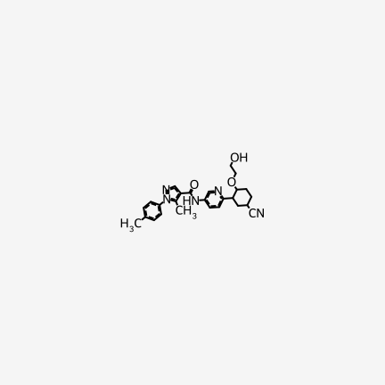 Cc1ccc(-n2ncc(C(=O)Nc3ccc(C4CC(C#N)CCC4OCCO)nc3)c2C)cc1